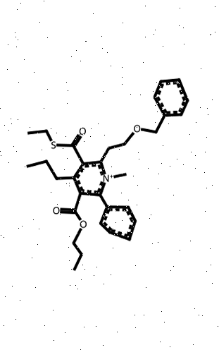 CCCOC(=O)c1c(CCC)c(C(=O)SCC)c(CCOCc2ccccc2)[n+](C)c1-c1ccccc1